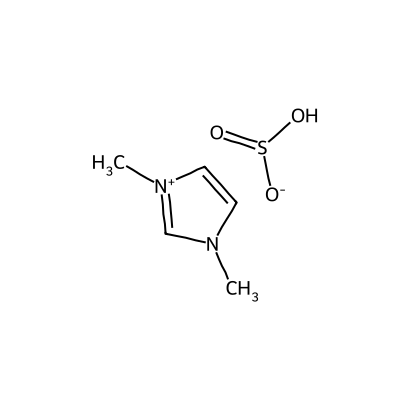 Cn1cc[n+](C)c1.O=S([O-])O